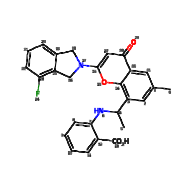 Cc1cc(C(C)Nc2ccccc2C(=O)O)c2oc(N3Cc4cccc(F)c4C3)cc(=O)c2c1